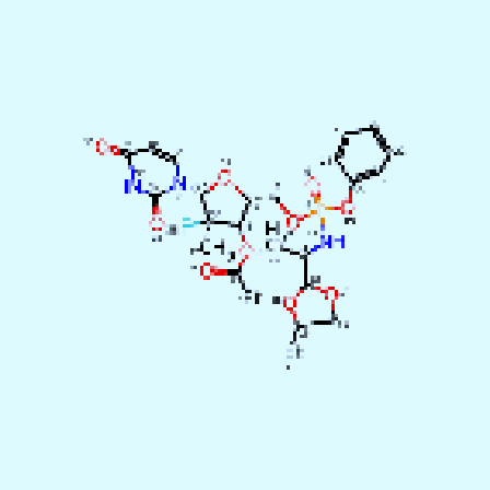 CCC(=O)O[C@@H]1[C@@H](COP(=O)(NC(C)C2OCC(CC)O2)Oc2ccccc2)O[C@@H](n2ccc(=O)[nH]c2=O)[C@]1(C)F